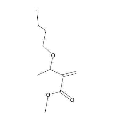 C=C(C(=O)OC)C(C)OCCCC